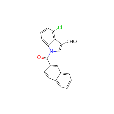 O=Cc1cn(C(=O)c2ccc3ccccc3c2)c2cccc(Cl)c12